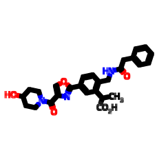 CC(C(=O)O)c1cc(-c2nc(C(=O)N3CCC(O)CC3)co2)ccc1CNC(=O)Cc1ccccc1